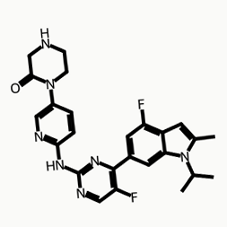 Cc1cc2c(F)cc(-c3nc(Nc4ccc(N5CCNCC5=O)cn4)ncc3F)cc2n1C(C)C